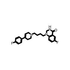 O=C1NCN(CCCCN2CC=C(c3ccc(F)cc3)CC2)c2ccc(F)cc21